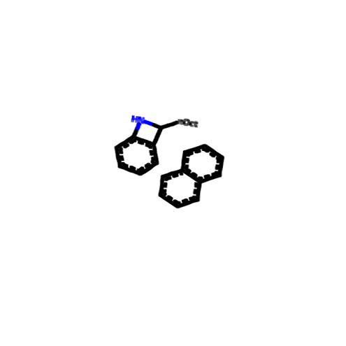 CCCCCCCCC1Nc2ccccc21.c1ccc2ccccc2c1